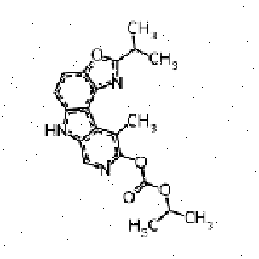 Cc1c(OC(=O)OC(C)C)ncc2[nH]c3ccc4oc(C(C)C)nc4c3c12